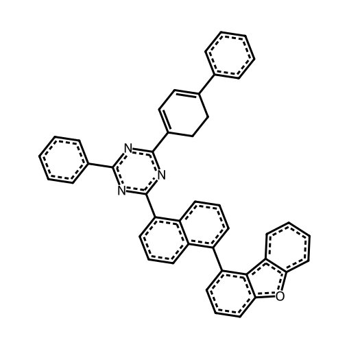 C1=C(c2ccccc2)CCC(c2nc(-c3ccccc3)nc(-c3cccc4c(-c5cccc6oc7ccccc7c56)cccc34)n2)=C1